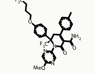 COc1cnc(N2C(=O)C(C(N)=O)=C(c3ccc(C)cc3)C[C@]2(c2ccc(OCCCC(F)(F)F)cc2)C(F)(F)F)cn1